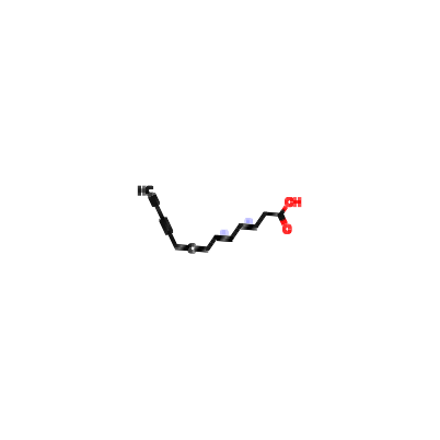 C#CC#CC=C=C/C=C/C=C/CC(=O)O